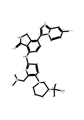 CN(C)Cc1nc(Nc2ccc(-c3cnc4cc(F)ccn34)c3c2C(=O)NC3)ccc1N1CCC[C@H](C(C)(C)O)C1